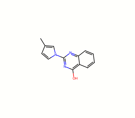 Cc1ccn(-c2nc(O)c3[c]cccc3n2)c1